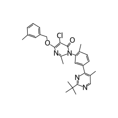 Cc1cccc(COc2nc(C)n(-c3cc(-c4nc(C(C)(C)C)ncc4C)ccc3C)c(=O)c2Cl)c1